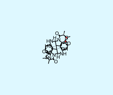 CN1C(=O)[C@@]23SSC1(C)C(=O)N2[C@H]1Nc2ccccc2[C@@]1([C@@]12c4ccccc4N[C@@H]1N1C(=O)[C@]4(C)SS[C@]1(C(=O)N4C)[C@H]2O)[C@@H]3O